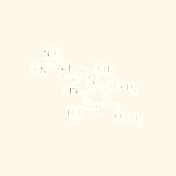 COCC1OC(C)C(NC(=O)CNC(=N)N)[C@@H](OC)[C@@H]1OC